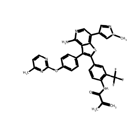 C=C(C)C(=O)Nc1ccc(-c2sc3c(-c4cnn(C)c4)cnc(N)c3c2-c2ccc(Oc3nccc(C)n3)cc2)cc1C(F)(F)F